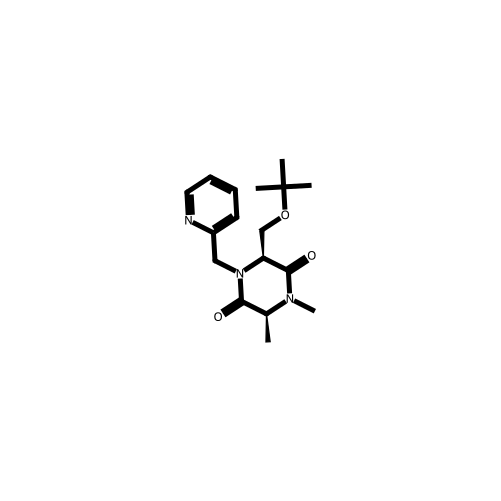 C[C@H]1C(=O)N(Cc2ccccn2)[C@@H](COC(C)(C)C)C(=O)N1C